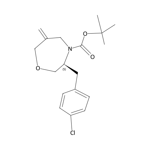 C=C1COC[C@H](Cc2ccc(Cl)cc2)N(C(=O)OC(C)(C)C)C1